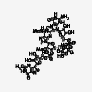 CNc1ncnc2c1ncn2[C@@H]1O[C@H](COP(=O)(O)OP(=O)(O)OP(=O)(O)OCC2O[C@@H](n3c[n+](C)c4c3NC(N)NC4=O)C(O)C2O)[C@H](OP(=O)(O)OC[C@H]2O[C@@H](C3N=Nc4c3nc(C)[nH]c4=O)C(O)[C@H]2O)C1OC